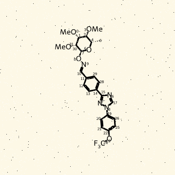 CO[C@@H]1[C@@H](OC)[C@H](C)O[C@@H](O/N=C/c2ccc(-c3ncn(-c4ccc(OC(F)(F)F)cc4)n3)cc2)[C@@H]1OC